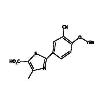 CCCCOc1ccc(-c2nc(C)c(C(=O)O)s2)cc1C#N